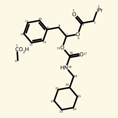 CC(=O)O.CC(C)CC(=O)OC(Cc1ccccc1)OC(=O)NCC1CCCCC1